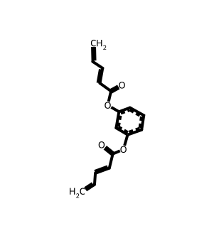 C=CC=CC(=O)Oc1cccc(OC(=O)C=CC=C)c1